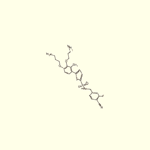 Cc1c(-c2ccc(S(=O)(=O)N[CH]c3ccc(C#N)c(F)c3)s2)ccc(OCCCN)c1OCCCN